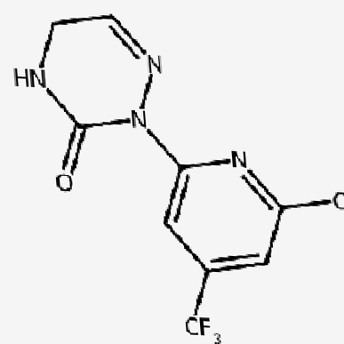 O=C1NCC=NN1c1cc(C(F)(F)F)cc(Cl)n1